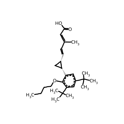 CCCCOc1c([C@@H]2C[C@@H]2/C=C/C(C)=C/C(=O)O)cc(C(C)(C)C)cc1C(C)(C)C